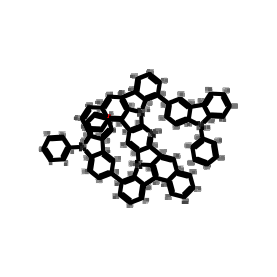 c1ccc(-n2c3ccccc3c3cc(-c4cccc5c6c7ccccc7cc7c8nc9c(cc8n(c45)c76)c4c5ccccc5cc5c6cccc(-c7ccc8c(c7)c7ccccc7n8-c7ccccc7)c6n9c54)ccc32)cc1